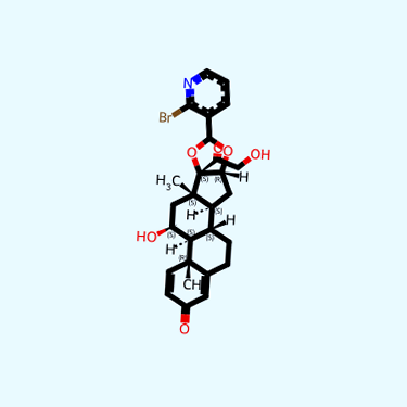 C[C@]12C=CC(=O)C=C1CC[C@@H]1[C@@H]2[C@@H](O)C[C@@]2(C)[C@H]1C[C@H]1OC(c3cccnc3Br)O[C@]12C(=O)CO